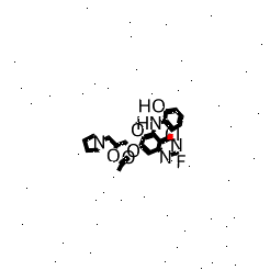 COc1c(OCC(CN2CCCC2)OC(C)=O)cc2nc(F)nc(Cl)c2c1Nc1ccccc1O